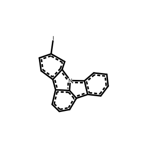 Ic1ccc2c3cccc4c5ccccc5n(c2c1)c43